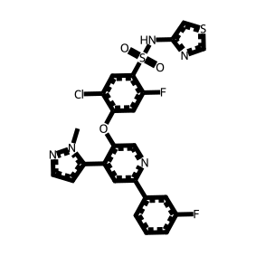 Cn1nccc1-c1cc(-c2cccc(F)c2)ncc1Oc1cc(F)c(S(=O)(=O)Nc2cscn2)cc1Cl